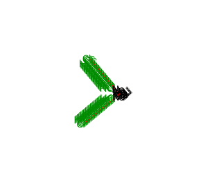 Cl.Cl.Cl.Cl.Cl.Cl.Cl.Cl.Cl.Cl.Cl.Cl.Cl.Cl.Cl.Cl.Cl.Cl.Cl.Cl.Cl.Cl.Cl.Cl.Cl.Cl.Cl.Cl.Cl.Cl.Cl.Cl.Cl.Cl.Cl.Cl.Cl.Cl.Cl.Cl.Cl.Cl.Cl.Cl.Cl.[Cl-].[Cl-].[Cl-].[Cl-].[Cl-].[Cl-].[Cl-].[Cl-].[Na+].[Na+].[Na+].[Na+].[Na+].[Na+].[Na+].[Na+]